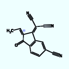 C/C=C1\C(=O)c2ccc(C#N)cc2C1=C(C#N)C#N